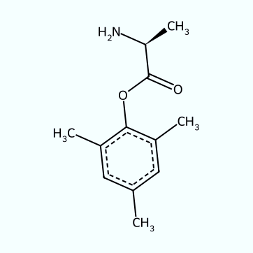 Cc1cc(C)c(OC(=O)[C@H](C)N)c(C)c1